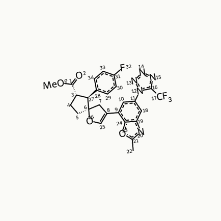 COC(=O)[C@H]1CC[C@@]2(CC(c3cc(-n4nnnc4C(F)(F)F)cc4nc(C)oc34)=CO2)[C@@H]1c1ccc(F)cc1